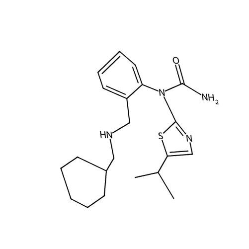 CC(C)c1cnc(N(C(N)=O)c2ccccc2CNCC2CCCCC2)s1